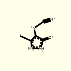 Cc1[nH][nH]c(=O)c1SC#N